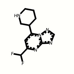 FC(F)c1cc(C2CCCNC2)n2ncnc2n1